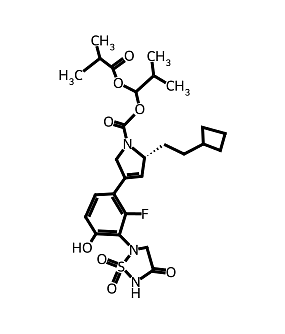 CC(C)C(=O)OC(OC(=O)N1CC(c2ccc(O)c(N3CC(=O)NS3(=O)=O)c2F)=C[C@H]1CCC1CCC1)C(C)C